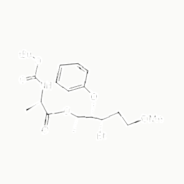 CC[C@@H](CCOC)[C@@H](Oc1ccccc1)[C@H](C)OC(=O)[C@@H](C)NC(=O)OC(C)(C)C